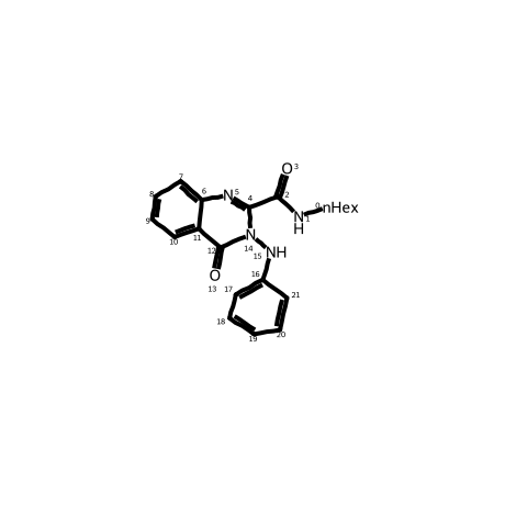 CCCCCCNC(=O)c1nc2ccccc2c(=O)n1Nc1ccccc1